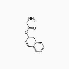 NCC(=O)Oc1ccc2ccccc2c1